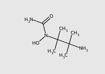 CC(C)(N)C(C)(C)N(O)C(N)=O